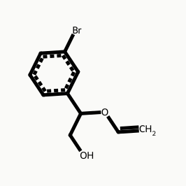 C=COC(CO)c1cccc(Br)c1